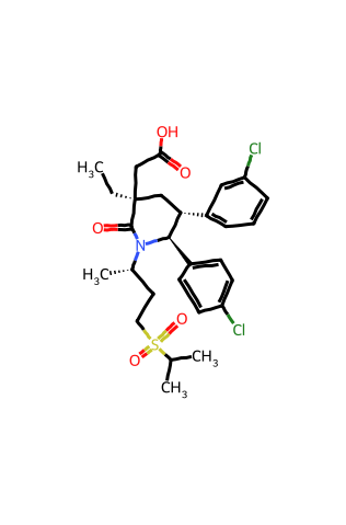 CC[C@]1(CC(=O)O)C[C@H](c2cccc(Cl)c2)[C@@H](c2ccc(Cl)cc2)N([C@@H](C)CCS(=O)(=O)C(C)C)C1=O